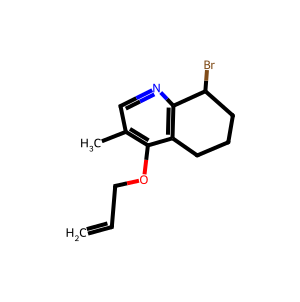 C=CCOc1c(C)cnc2c1CCCC2Br